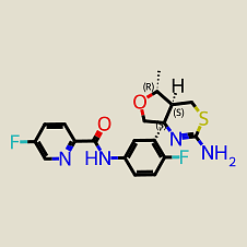 C[C@H]1OC[C@]2(c3cc(NC(=O)c4ccc(F)cn4)ccc3F)N=C(N)SC[C@H]12